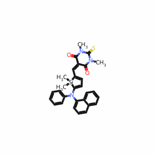 CN1C(=O)C(=CC2=CC=C(N(c3ccccc3)c3cccc4ccccc34)[Si]2(C)C)C(=O)N(C)C1=S